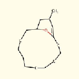 CC1C=C2CCCCCCCCCCC(C1)O2